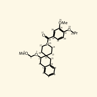 COCOC1Cc2ccccc2CC12CCN(C(=O)c1ccc(OC(C)C)c(OC)c1)CC2